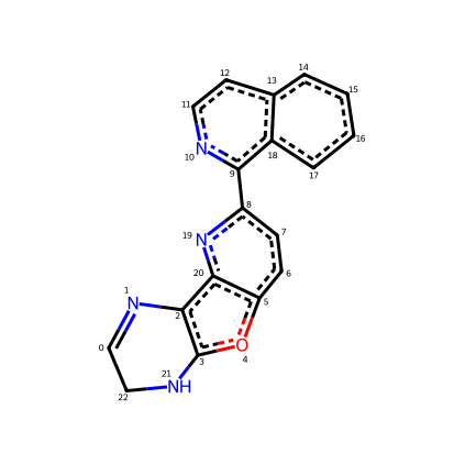 C1=Nc2c(oc3ccc(-c4nccc5ccccc45)nc23)NC1